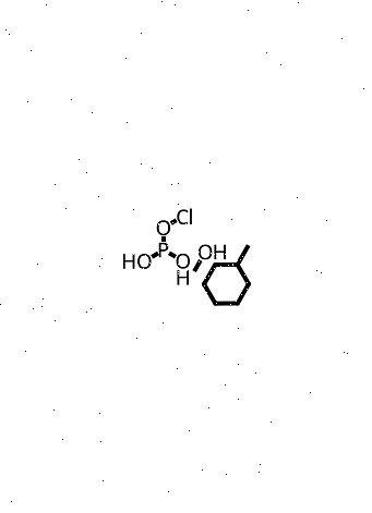 CC1CCCCC1.CO.OP(O)OCl